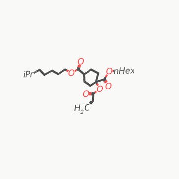 C=CC(=O)OC1(C(=O)OCCCCCC)CCC(C(=O)OCCCCCC(C)C)CC1